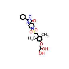 Cc1cc(OC[C@@H](O)CO)cc(C)c1CCS(=O)(=O)N1CCC2(CC1)N=C(C1CCCCC1)NC2=O